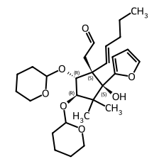 CCCC=C[C@@]1(CC=O)[C@@H](OC2CCCCO2)[C@H](OC2CCCCO2)C(C)(C)[C@@]1(O)c1ccco1